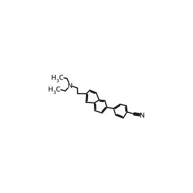 CCN(CC)CCc1ccc2cc(-c3ccc(C#N)cc3)ccc2c1